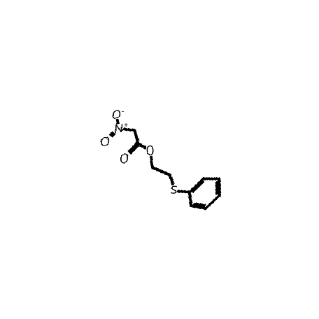 O=C(C[N+](=O)[O-])OCCSc1ccccc1